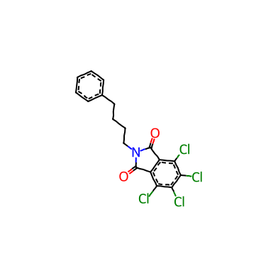 O=C1c2c(Cl)c(Cl)c(Cl)c(Cl)c2C(=O)N1CCCCc1ccccc1